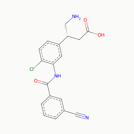 N#Cc1cccc(C(=O)Nc2cc([C@H](CN)CC(=O)O)ccc2Cl)c1